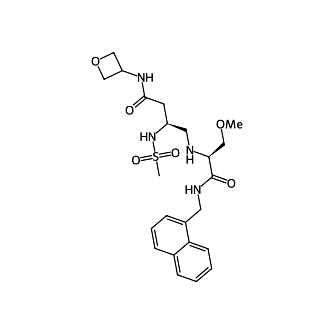 COC[C@H](NC[C@H](CC(=O)NC1COC1)NS(C)(=O)=O)C(=O)NCc1cccc2ccccc12